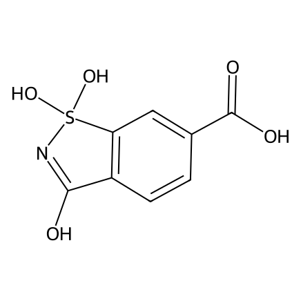 O=C(O)c1ccc2c(c1)S(O)(O)N=C2O